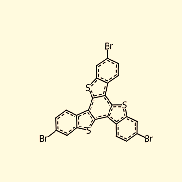 Brc1ccc2c(c1)sc1c2c2sc3cc(Br)ccc3c2c2sc3cc(Br)ccc3c12